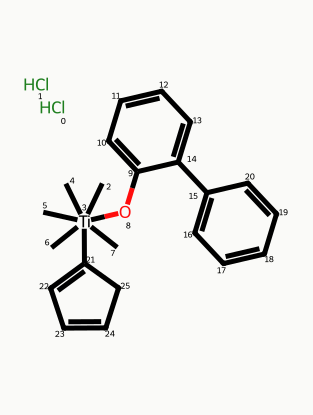 Cl.Cl.[CH3][Ti]([CH3])([CH3])([CH3])([CH3])([O]c1ccccc1-c1ccccc1)[C]1=CC=CC1